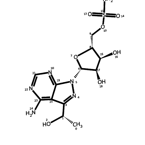 C[C@H](O)c1nn([C@@H]2O[C@H](COS(N)(=O)=O)[C@@H](O)[C@H]2O)c2ncnc(N)c12